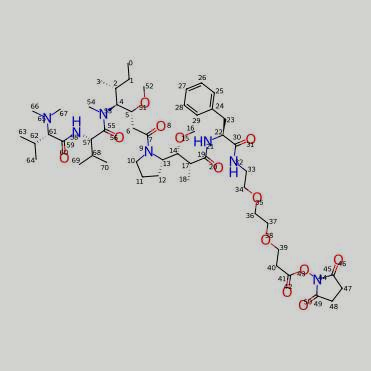 CC[C@@H](C)[C@@H]([C@@H](CC(=O)N1CCC[C@H]1[C@H](OC)[C@@H](C)C(=O)N[C@@H](Cc1ccccc1)C(=O)NCCOCCOCCC(=O)ON1C(=O)CCC1=O)OC)N(C)C(=O)[C@@H](NC(=O)[C@H](C(C)C)N(C)C)C(C)C